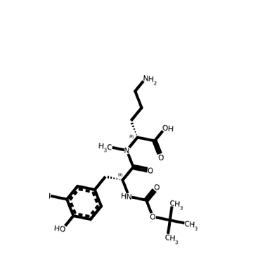 CN(C(=O)[C@@H](Cc1ccc(O)c(I)c1)NC(=O)OC(C)(C)C)[C@H](CCCN)C(=O)O